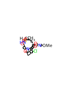 COC1CN([C@H]2CO[C@H]([C@H]3CCC[C@H](C)[C@@H](C)S(=O)(=O)NC(=O)c4ccc5c(c4)N(C[C@@H]4CC[C@H]43)C[C@@]3(CCCc4cc(Cl)ccc43)CO5)OC2)C1